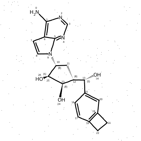 Nc1ncnc2c1ccn2[C@@H]1C[C@H]([C@H](O)c2ccc3c(c2)CC3)[C@@H](O)[C@H]1O